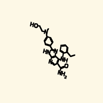 CCc1ccccc1Nc1c(C(N)=O)cnc2[nH]c(-c3ccc(N(C)CCO)cc3)nc12